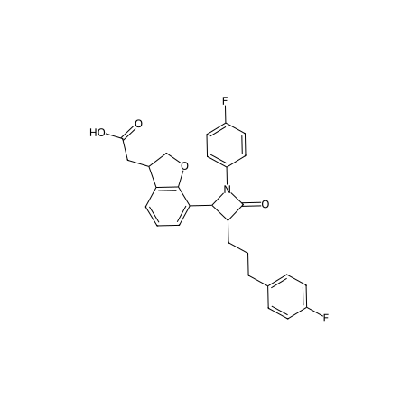 O=C(O)CC1COc2c1cccc2C1C(CCCc2ccc(F)cc2)C(=O)N1c1ccc(F)cc1